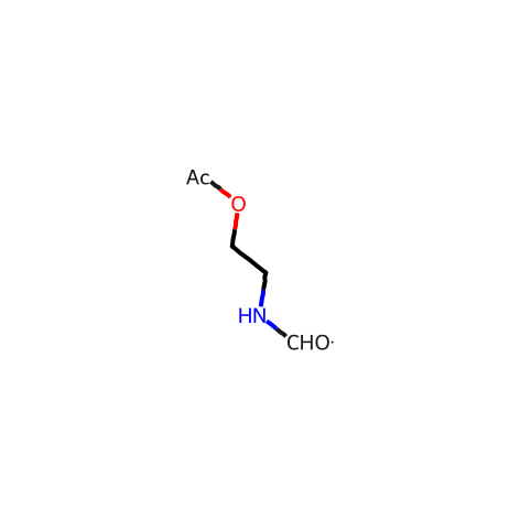 CC(=O)OCCN[C]=O